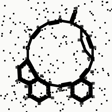 O=C1/N=C\C=C/Oc2ccc3ncnc(c3c2)/N=c2/cccc/c2=C/N2C=CC1CC2